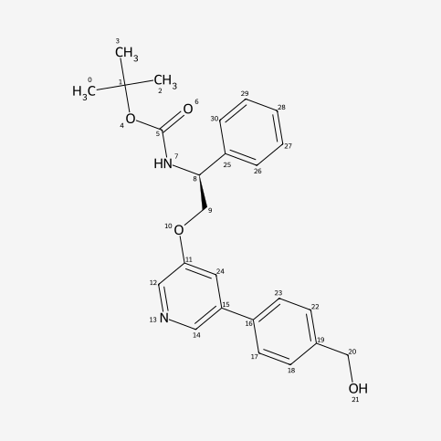 CC(C)(C)OC(=O)N[C@H](COc1cncc(-c2ccc(CO)cc2)c1)c1ccccc1